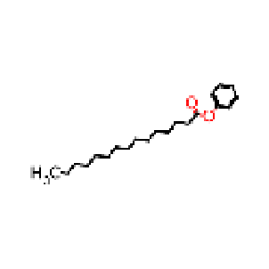 CCCCCCCCCCCCCCC(=O)Oc1ccccc1